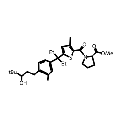 CCC(CC)(c1ccc(CCC(O)C(C)(C)C)c(C)c1)c1cc(C)c(C(=O)N2CCC[C@@H]2C(=O)OC)s1